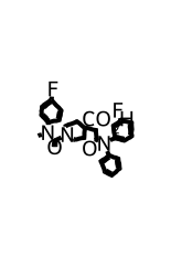 CN(C(=O)N1CCC(CC(=O)N(c2ccccc2)c2cccc(F)c2)(C(=O)O)CC1)c1ccc(F)cc1